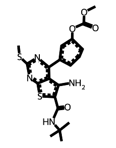 COC(=O)Oc1cccc(-c2nc(SC)nc3sc(C(=O)NC(C)(C)C)c(N)c23)c1